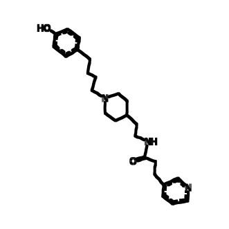 O=C(CCc1cccnc1)NCCC1CCN(CCCCc2ccc(O)cc2)CC1